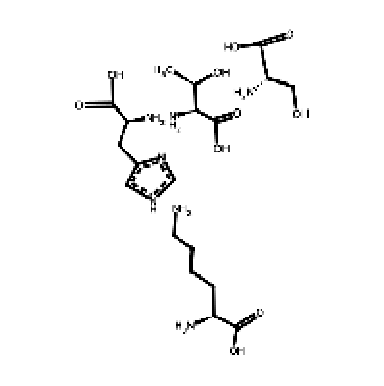 C[C@@H](O)[C@H](N)C(=O)O.NCCCC[C@H](N)C(=O)O.N[C@@H](CO)C(=O)O.N[C@@H](Cc1c[nH]cn1)C(=O)O